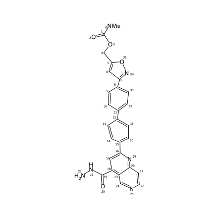 CNC(=O)OCc1cc(-c2ccc(-c3ccc(-c4cc(C(=O)NN)c5cnccc5n4)cc3)cc2)no1